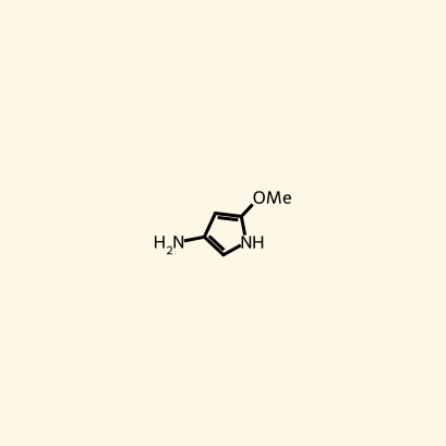 COc1cc(N)c[nH]1